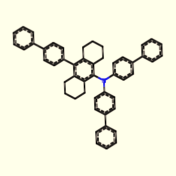 c1ccc(-c2ccc(-c3c4c(c(N(c5ccc(-c6ccccc6)cc5)c5ccc(-c6ccccc6)cc5)c5c3CCCC5)CCCC4)cc2)cc1